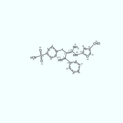 N=C(/C(Cc1ccc(S(N)(=O)=O)cc1)=C(/N)Nc1nc(C=O)co1)c1ccccc1